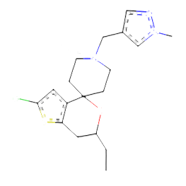 CCC1Cc2sc(Cl)cc2C2(CCN(Cc3cnn(C)c3)[C@@H](C)C2)O1